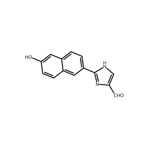 O=Cc1c[nH]c(-c2ccc3cc(O)ccc3c2)n1